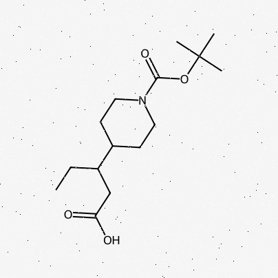 CCC(CC(=O)O)C1CCN(C(=O)OC(C)(C)C)CC1